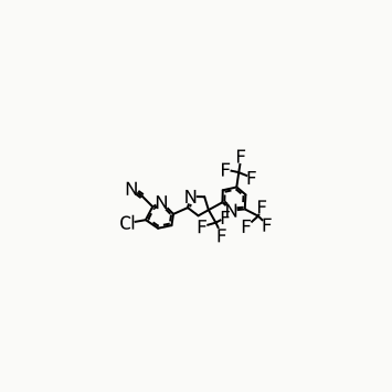 N#Cc1nc(C2=NCC(c3cc(C(F)(F)F)cc(C(F)(F)F)n3)(C(F)(F)F)C2)ccc1Cl